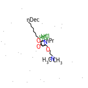 CCCCCCCCCCCCCCCCCCOc1cn(CCC)c(COCCCN(C)C)cc1=O.Cl.Cl